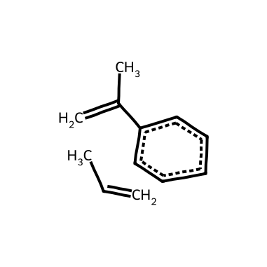 C=C(C)c1ccccc1.C=CC